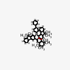 CC1(C)CCC(C)(C)c2cc(-c3cc4c(cc3N(c3ccc(-c5ccccc5)cc3)c3cccc5c3-c3ccccc3C5(C)C)C(C)(C)c3ccccc3-4)ccc21